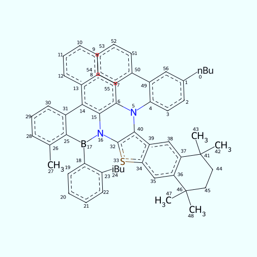 CCCCc1ccc(N2c3cc4ccccc4c4c3N(B(c3ccccc3C(C)CC)c3c(C)cccc3-4)c3sc4cc5c(cc4c32)C(C)(C)CCC5(C)C)c(-c2ccccc2)c1